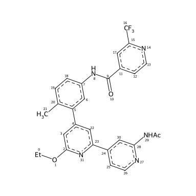 CCOc1cc(-c2cc(NC(=O)c3ccnc(C(F)(F)F)c3)ccc2C)cc(-c2ccnc(NC(C)=O)c2)n1